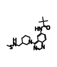 CSNCC1CCCN(c2ncnc3ccc(NC(=O)C(C)(C)C)cc23)C1